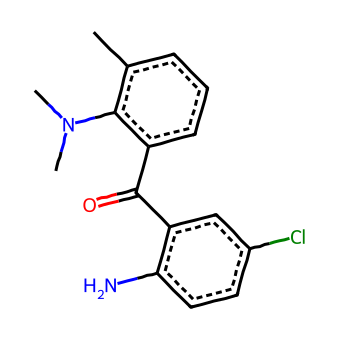 Cc1cccc(C(=O)c2cc(Cl)ccc2N)c1N(C)C